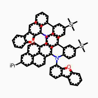 CC(C)c1cc2ccc3c(N(c4ccc([Si](C)(C)C)cc4-c4ccccc4)c4cccc5c4oc4ccccc45)cc(N(c4ccc([Si](C)(C)C)cc4-c4ccccc4)c4cccc5c4oc4ccccc45)c4ccc(c1)c2c34